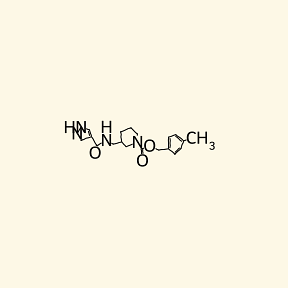 Cc1ccc(COC(=O)N2CCCC(CNC(=O)c3cn[nH]c3)C2)cc1